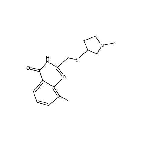 Cc1cccc2c(=O)[nH]c(CSC3CCN(C)C3)nc12